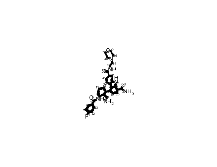 NCc1c(NC(=O)c2ccc(F)cc2)cccc1-c1ccc(C(N)=O)c2[nH]c3cc(C(=O)NCCN4CCOCC4)ccc3c12